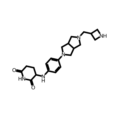 O=C1CCC(Nc2ccc(N3CC4CN(CC5CNC5)CC4C3)cc2)C(=O)N1